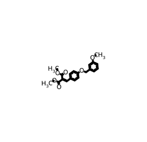 COC(=O)C(=Cc1ccc(OCc2cccc(OC)c2)cc1)C(=O)OC